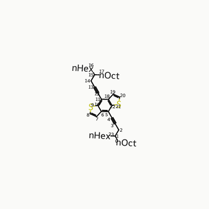 CCCCCCCCC(CC#Cc1c2ccsc2c(C#CCC(CCCCCC)CCCCCCCC)c2ccsc12)CCCCCC